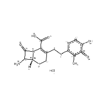 Cl.Cn1c(SCC2=C(C(=O)O)N3C(=O)C(N)[C@H]3SC2)nnc(O)c1=O